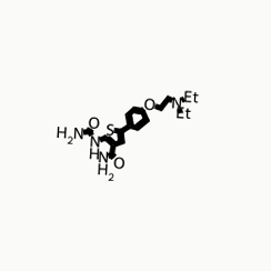 CCN(CC)CCOc1ccc(-c2cc(C(N)=O)c(NC(N)=O)s2)cc1